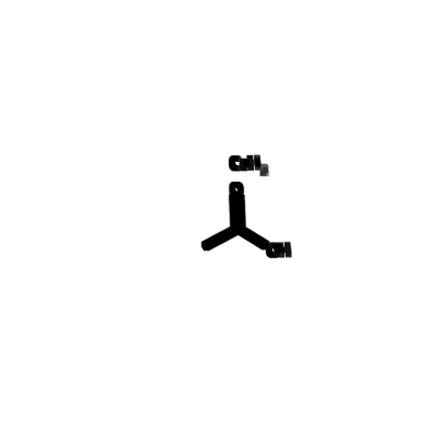 CC(=O)O.[CaH2]